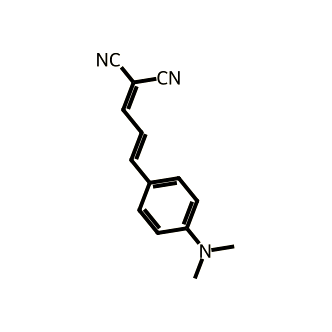 CN(C)c1ccc(C=CC=C(C#N)C#N)cc1